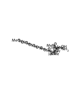 CNC(=O)[C@H](CCCNC(N)O)NC(=O)[C@@H](NC(=O)[C@H](CNC(=O)CCOCCOCCOCCOCCOCCOCCOCCOC)NC)C(C)C